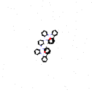 c1ccc2c(c1)B1c3ccccc3N(c3ccccc3-n3c4ccccc4c4ccccc43)c3cccc(c31)N2c1ccccc1-n1c2ccccc2c2ccccc21